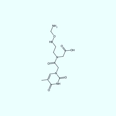 Cc1cn(CC(=O)N(CCBOCN)CC(=O)O)c(=O)[nH]c1=O